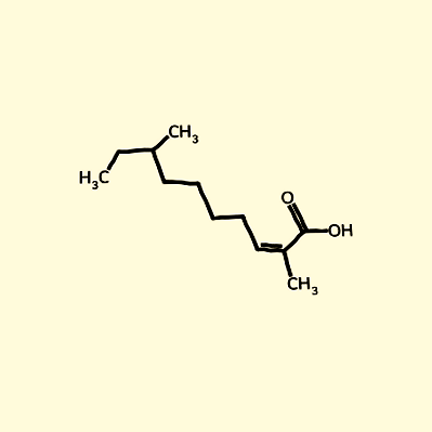 CCC(C)CCCCC=C(C)C(=O)O